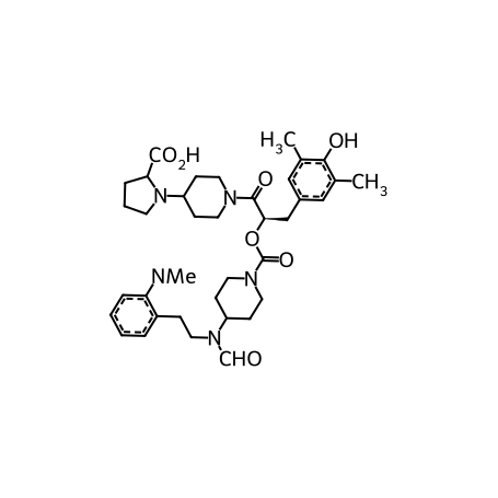 CNc1ccccc1CCN(C=O)C1CCN(C(=O)O[C@H](Cc2cc(C)c(O)c(C)c2)C(=O)N2CCC(N3CCCC3C(=O)O)CC2)CC1